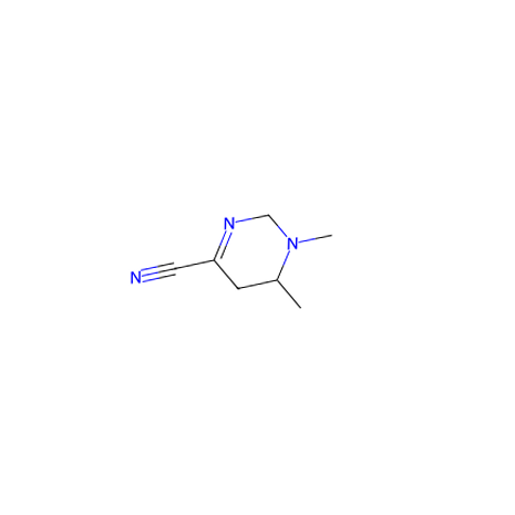 CC1CC(C#N)=NCN1C